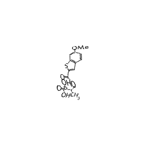 COc1ccc2cc(C(=O)OC(C)P(=O)(O)O)sc2c1